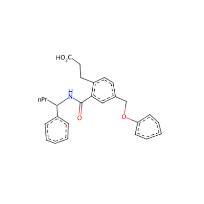 CCCC(NC(=O)c1cc(COc2ccccc2)ccc1CCC(=O)O)c1ccccc1